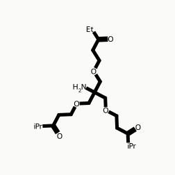 CCC(=O)CCOCC(N)(COCCC(=O)C(C)C)COCCC(=O)C(C)C